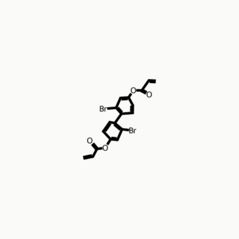 C=CC(=O)Oc1ccc(-c2ccc(OC(=O)C=C)cc2Br)c(Br)c1